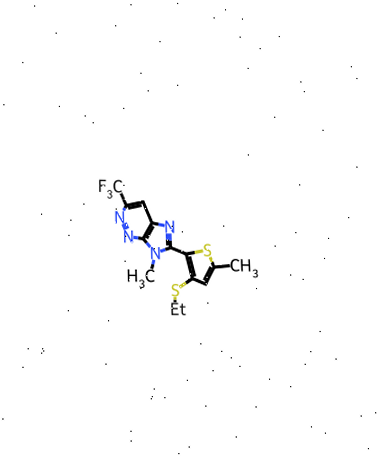 CCSc1cc(C)sc1-c1nc2cc(C(F)(F)F)nnc2n1C